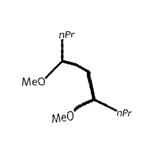 CCCC(CC(CCC)OC)OC